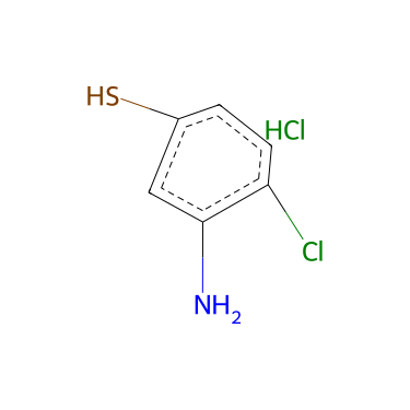 Cl.Nc1cc(S)ccc1Cl